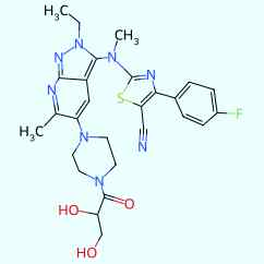 CCn1nc2nc(C)c(N3CCN(C(=O)C(O)CO)CC3)cc2c1N(C)c1nc(-c2ccc(F)cc2)c(C#N)s1